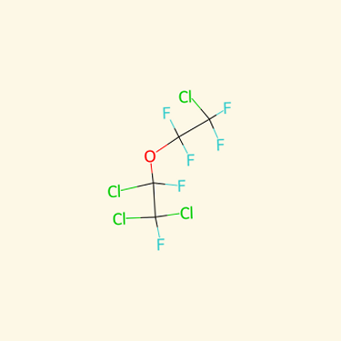 FC(F)(Cl)C(F)(F)OC(F)(Cl)C(F)(Cl)Cl